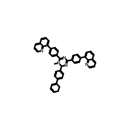 CN1C(c2ccc(-c3cccc4cccnc34)cc2)=NC(c2ccc(-c3cccc4cccnc34)cc2)=NC1c1ccc(C2=CC=CCC2)cc1